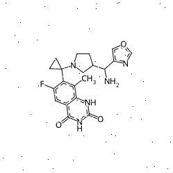 Cc1c(C2(N3CCC(C(N)c4cocn4)C3)CC2)c(F)cc2c(=O)[nH]c(=O)[nH]c12